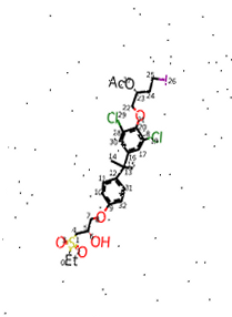 CCS(=O)(=O)C[C@@H](O)COc1ccc(C(C)(C)c2cc(Cl)c(OC[C@@H](CCI)OC(C)=O)c(Cl)c2)cc1